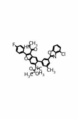 CNC(=O)c1c(-c2ccc(F)cc2)oc2cc(N(C)S(C)(=O)=O)c(-c3cc(C)cc(-c4nc5c(Cl)cccc5o4)c3)cc12